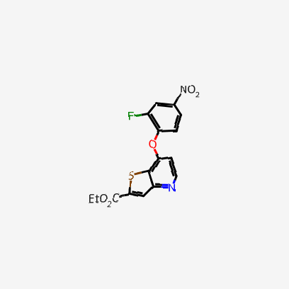 CCOC(=O)c1cc2nccc(Oc3ccc([N+](=O)[O-])cc3F)c2s1